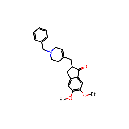 CCOc1cc2c(cc1OCC)C(=O)C(CC1=CCN(Cc3ccccc3)CC1)C2